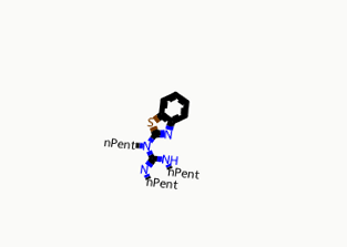 CCCCCN=C(NCCCCC)N(CCCCC)c1nc2ccccc2s1